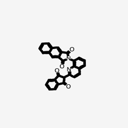 O=C1c2ccccc2C(=O)C1c1ccc2cccc(N3C(=O)c4cc5ccccc5cc4C3=O)c2n1